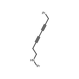 CC(C)CC#CC#CCCNC(C)C